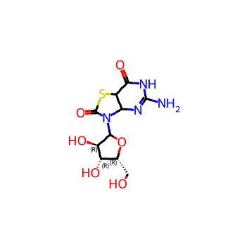 NC1=NC2C(SC(=O)N2C2O[C@H](CO)[C@H](O)[C@H]2O)C(=O)N1